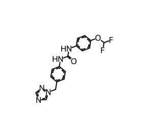 O=C(Nc1ccc(Cn2cncn2)cc1)Nc1ccc(OC(F)F)cc1